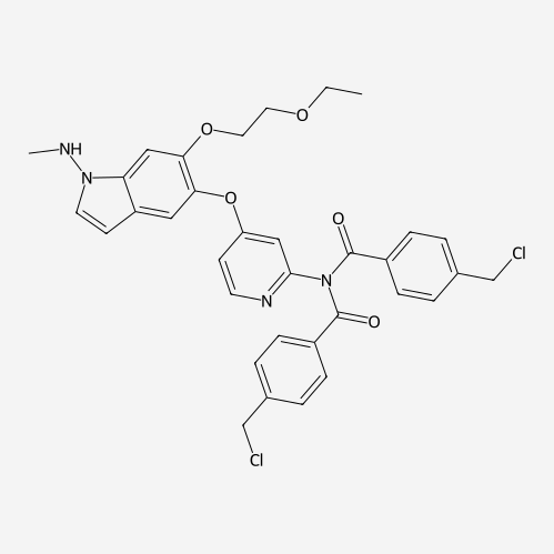 CCOCCOc1cc2c(ccn2NC)cc1Oc1ccnc(N(C(=O)c2ccc(CCl)cc2)C(=O)c2ccc(CCl)cc2)c1